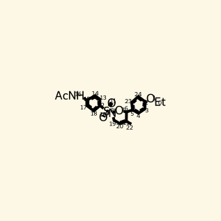 CCOc1ccc(C2ON(S(=O)(=O)c3ccc(NC(C)=O)cc3)CC=C2C)cc1